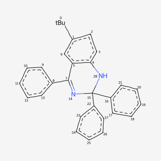 CC(C)(C)c1ccc2c(c1)C(c1ccccc1)=NC(c1ccccc1)(c1ccccc1)N2